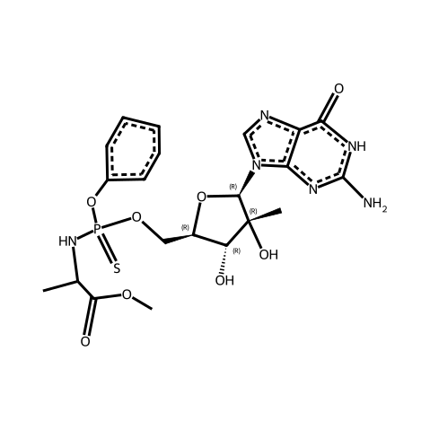 COC(=O)C(C)NP(=S)(OC[C@H]1O[C@@H](n2cnc3c(=O)[nH]c(N)nc32)[C@](C)(O)[C@@H]1O)Oc1ccccc1